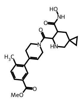 COC(=O)c1ccc(C)c(C2=CCN(C(=O)C3NCC4(CC4)CC3C(=O)NO)CC2)c1